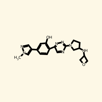 Cn1cc(-c2ccc(-c3cnc(N4CCC(NC5COC5)C4)nn3)c(O)c2)cn1